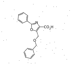 O=C(O)c1nc(-c2ccccc2)oc1COCc1ccccc1